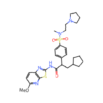 COc1ccc2nc(NC(=O)C(CC3CCCC3)c3ccc(S(=O)(=O)N(C)CCN4CCCC4)cc3)sc2n1